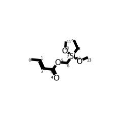 CC=CC(=O)OC[Si](CC)(OC)OC